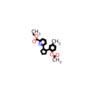 CCOC(=O)c1cccc(C2=C(c3cc(C)ccc3OC(C)=O)CCC2)n1